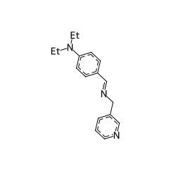 CCN(CC)c1ccc(C=NCc2cccnc2)cc1